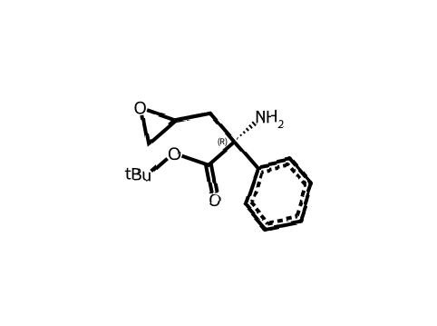 CC(C)(C)OC(=O)[C@@](N)(CC1CO1)c1ccccc1